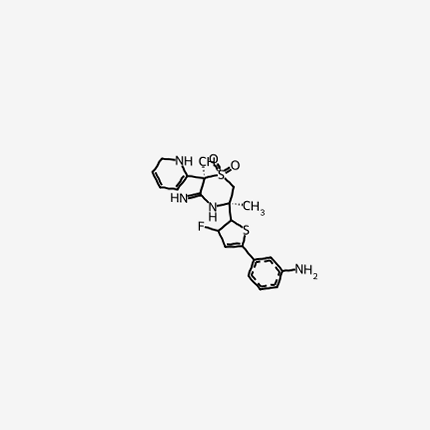 C[C@@]1(C2=CC=CCN2)C(=N)N[C@](C)(C2SC(c3cccc(N)c3)=CC2F)CS1(=O)=O